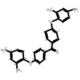 Cc1cc(N)ccc1Oc1ccc(C(=O)c2ccc(Oc3ccc(N)cc3C)cc2)cc1